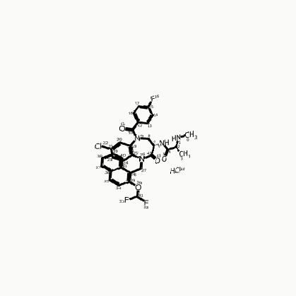 CN[C@@H](C)C(=O)N[C@H]1CN(C(=O)c2ccc(F)cc2)c2cc(Cl)ccc2N(Cc2c(OC(F)F)ccc3ccccc23)C1=O.Cl